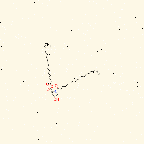 CCCCCCCCCCCCCCCC(=O)OC(=O)[C@@H]1CC(O)CN1C(=O)CCCCCCCCCCCCCCC